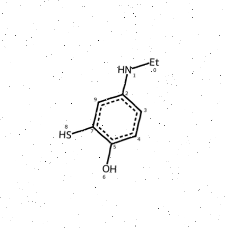 CCNc1ccc(O)c(S)c1